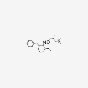 CC[C@H]1CCCC(=C\c2ccccc2)/C1=N/OC[C@H](C)CN(C)C